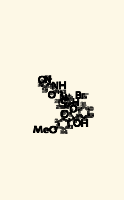 COc1ccc(C(O)(C(=O)O[C@H]2C[N+]3(CC(=O)Nc4ccon4)CCC2CC3)c2ccccc2)cc1.[Br-]